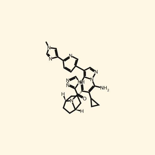 Cn1cnc(-c2ccc(-c3cnn4c(N)c(C5CC5)c([C@H]5C[C@H]6CC[C@@H](C5)N6C(=O)c5nnc[nH]5)nc34)cn2)c1